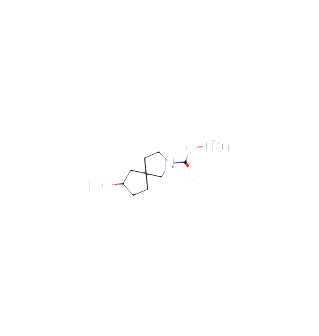 CC(C)(C)OC(=O)N1CCC2(CCC(O)C2)C1